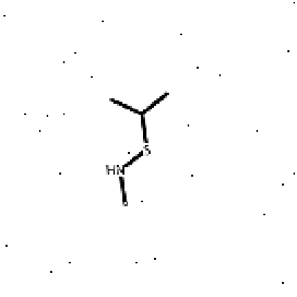 CNSC(C)C